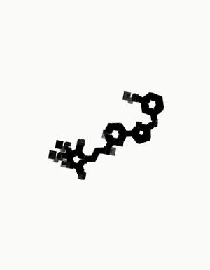 Cc1cccc(Sc2ccc(-c3ccnc(NCCN4C(=O)NC(C)(C)C4=O)n3)s2)c1